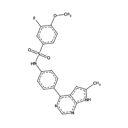 COc1ccc(S(=O)(=O)Nc2ccc(-c3ncnc4[nH]c(C)cc34)cc2)cc1F